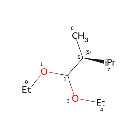 CCOC(OCC)[C@@H](C)C(C)C